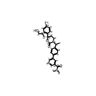 CC(c1ccc(-c2cncc(C(=O)N(C)C)c2)cc1)N1CC[C@](CCCO)(c2ccc(F)cc2)OC1=O